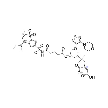 CCN[C@H]1C[C@H](C)S(=O)(=O)c2sc(S(=O)(=O)NC(=O)CCCC(=O)O[C@@H](CNC(C)(C)C/C(=C/C(=O)O)C(=O)O)COc3nsnc3N3CCOCC3)cc21